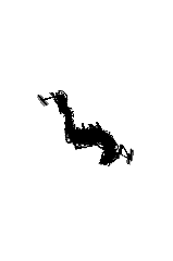 Cn1nc(N2CCC(=O)NC2=O)c2cc(F)c(N3CCC(O)(CC(=O)N4CCC5(CC4)C[C@@H](n4cnc6ccc(Oc7c(F)ccc(NS(=O)(=O)N8CCCC8)c7C#N)cc6c4=O)CO5)CC3)cc21